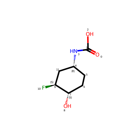 O=C(O)N[C@@H]1CC[C@H](O)[C@@H](F)C1